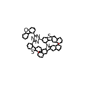 c1ccc2cc3c(cc2c1)sc1cc(-c2nc(-c4cccc5oc6ccccc6c45)nc(-c4cccc5sc6ccccc6c45)n2)cc(-n2c4cc5ccccc5cc4c4cc5ccccc5cc42)c13